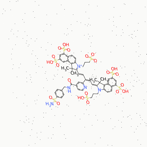 CC1(C)C(/C=C/C(=C/C=C2/N(CCCS(=O)(=O)O)c3ccc4c(S(=O)(=O)O)cc(S(=O)(=O)O)cc4c3C2(C)C)c2cc(C(=O)NCc3ccc(S(N)(=O)=O)cc3)ccn2)=[N+](CCCS(=O)(=O)[O-])c2ccc3c(S(=O)(=O)O)cc(S(=O)(=O)O)cc3c21